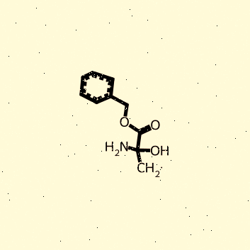 [CH2]C(N)(O)C(=O)OCc1ccccc1